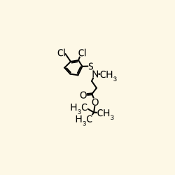 CN(CCC(=O)OC(C)(C)C)Sc1cccc(Cl)c1Cl